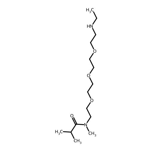 CCNCCOCCOCCOCCN(C)C(=O)C(C)C